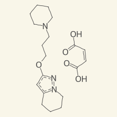 O=C(O)/C=C\C(=O)O.c1c(OCCCN2CCCCC2)nn2c1CCCC2